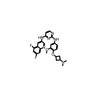 COc1cc(Nc2nccc(Nc3cnc4cc(F)cc(F)c4c3)n2)ccc1OC1CC(N(C)C)C1